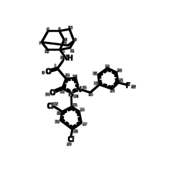 O=C(NC12CC3CC(CC(C3)C1)C2)c1cn(Cc2cccc(F)c2)n(-c2ccc(Cl)cc2Cl)c1=O